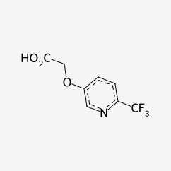 O=C(O)COc1ccc(C(F)(F)F)nc1